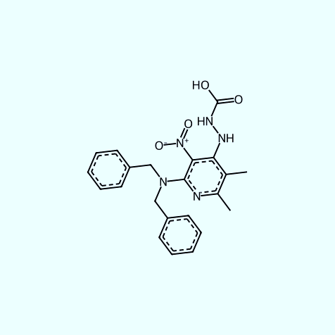 Cc1nc(N(Cc2ccccc2)Cc2ccccc2)c([N+](=O)[O-])c(NNC(=O)O)c1C